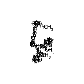 CCCCCC[N+]1(CCOCCOCCOCCn2cc(-c3cc(COc4cc5c(cc4OC)C(=O)N4CCC[C@H]4C=N5)cc(COc4cc5c(cc4OC)C(=O)N4CCC[C@H]4C=N5)c3)nn2)C(=O)C=CC1=O